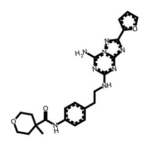 CC1(C(=O)Nc2ccc(CCNc3nc(N)n4nc(-c5ccco5)nc4n3)cc2)CCOCC1